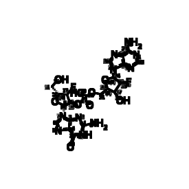 Nc1nc2c(ncn2[C@@H]2O[C@H](CO)C(F)[C@@H]2OP(=O)(O)OC[C@H]2O[C@@H](n3cnc4c(N)ncnc43)[C@@H](F)C2O)c(=O)[nH]1